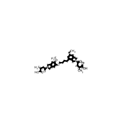 COc1cc(CCCCOc2cc3c(cc2OC)CN(C(=O)C[C@H](C)C(=O)O)C3)c2c(c1)CN(C(=O)C[C@H](C)C(=O)O)C2